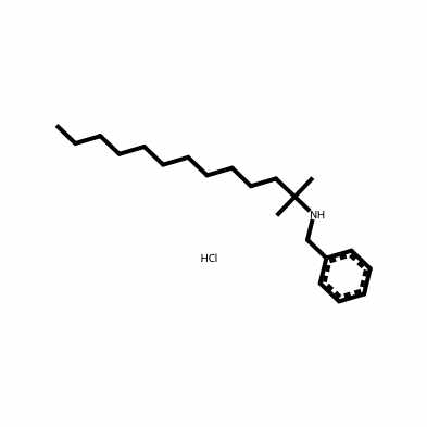 CCCCCCCCCCCC(C)(C)NCc1ccccc1.Cl